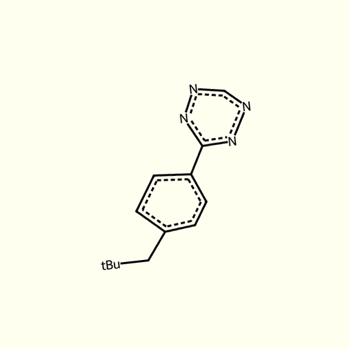 CC(C)(C)Cc1ccc(-c2nncnn2)cc1